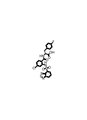 O=C(N[C@@H](Cc1ccc(F)cc1)C(=O)O)c1ccc(Cl)cc1NS(=O)(=O)c1cccc2nsnc12